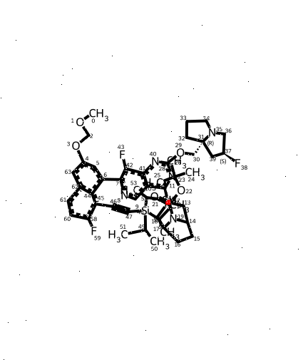 COCOc1cc(-c2ncc3c(N4CC5CCC(C4)N5C(=O)OC(C)(C)C)nc(OC[C@]45CCCN4C[C@@H](F)C5)nc3c2F)c2c(C#C[Si](C(C)C)(C(C)C)C(C)C)c(F)ccc2c1